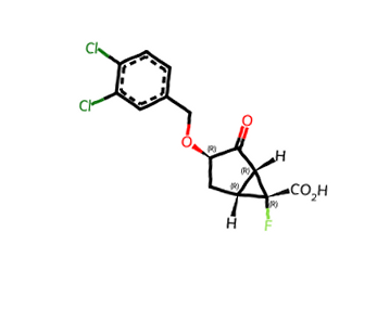 O=C1[C@H](OCc2ccc(Cl)c(Cl)c2)C[C@@H]2[C@H]1[C@@]2(F)C(=O)O